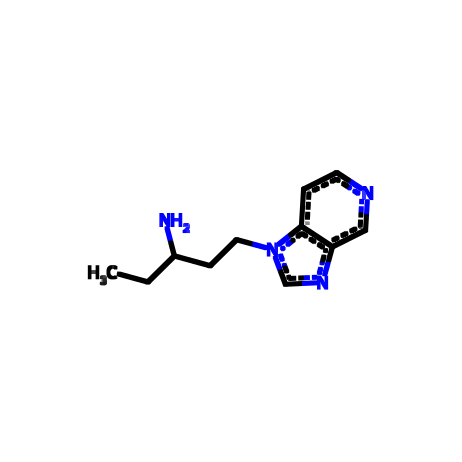 CCC(N)CCn1cnc2cnccc21